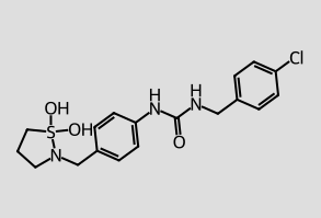 O=C(NCc1ccc(Cl)cc1)Nc1ccc(CN2CCCS2(O)O)cc1